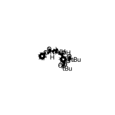 CC(C)(CNC(=O)COc1ccccc1)NCC(O)c1ccc(OC(=O)C(C)(C)C)c(OC(=O)C(C)(C)C)c1